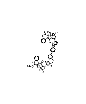 COC(=O)N[C@@H](C(=O)N1[C@@H]2C[C@@H]2C[C@H]1c1ncc(-c2ccc(-c3ccc4c(c3)CCc3[nH]c([C@@H]5C[C@H]6C[C@H]6N5C(=O)[C@H](NC(=O)OC)c5ccccc5)nc3-4)cc2)[nH]1)c1ccccc1